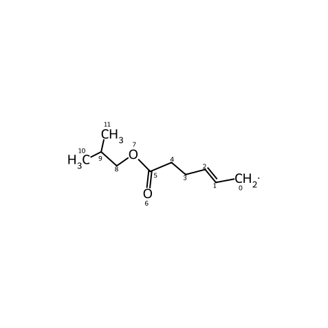 [CH2]C=CCCC(=O)OCC(C)C